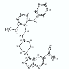 COc1cccc(Oc2ccccn2)c1CCN1CCC(n2ccc3ccc(C(N)=O)cc32)CC1